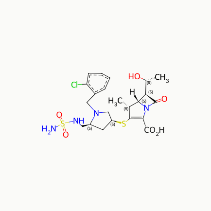 C[C@@H](O)[C@H]1C(=O)N2C(C(=O)O)=C(S[C@H]3C[C@@H](CNS(N)(=O)=O)N(Cc4ccccc4Cl)C3)[C@H](C)[C@H]12